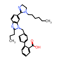 CCCCCCN1CCN=C1c1ccc2nc(CCC)n(Cc3ccc(-c4ccccc4C(=O)O)cc3)c2c1